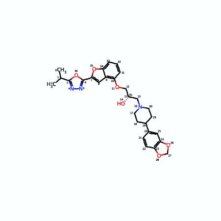 CC(C)c1nnc(-c2cc3c(OC[C@@H](O)CN4CCC(c5ccc6c(c5)OCO6)CC4)cccc3o2)o1